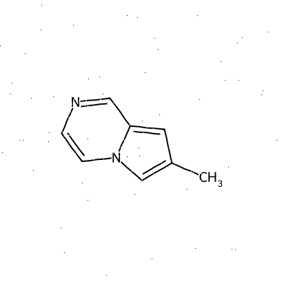 Cc1cc2cnccn2c1